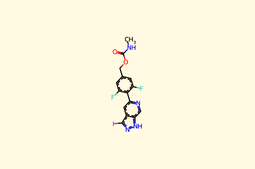 CNC(=O)OCc1cc(F)c(-c2cc3c(I)n[nH]c3cn2)c(F)c1